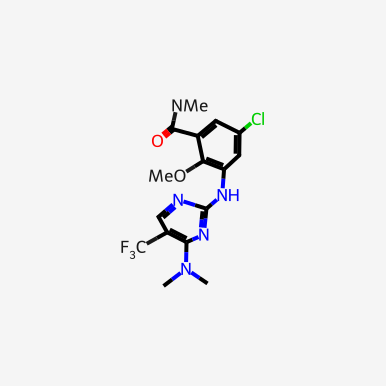 CNC(=O)c1cc(Cl)cc(Nc2ncc(C(F)(F)F)c(N(C)C)n2)c1OC